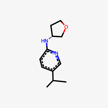 CC(C)c1ccc(N[C@@H]2CCOC2)nc1